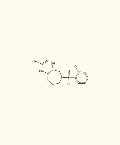 CCC[CH]C(=O)NC1CCCN(S(=O)(=O)c2cccc[n+]2[O-])CC1O